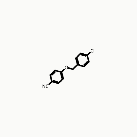 N#Cc1ccc(OCc2ccc(Cl)cc2)cc1